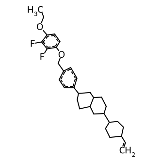 C=CC1CCC(C2CCC3CC(c4ccc(COc5ccc(OCC)c(F)c5F)cc4)CCC3C2)CC1